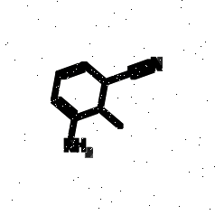 CC1C(N)=CC=CC1C#N